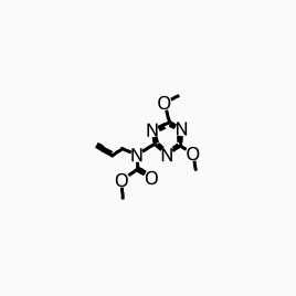 C=CCN(C(=O)OC)c1nc(OC)nc(OC)n1